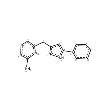 Nc1nccc(Cc2cc(-c3ccccc3)[nH]n2)n1